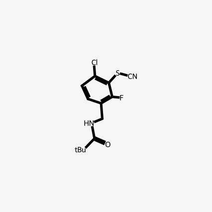 CC(C)(C)C(=O)NCc1ccc(Cl)c(SC#N)c1F